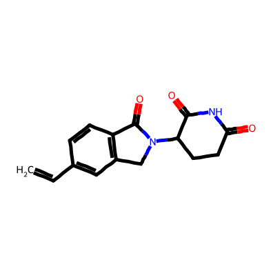 C=Cc1ccc2c(c1)CN(C1CCC(=O)NC1=O)C2=O